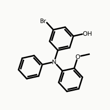 COc1ccccc1N(c1ccccc1)c1cc(O)cc(Br)c1